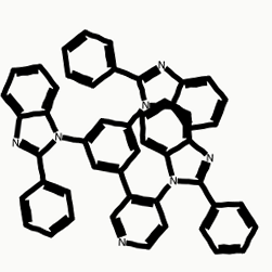 c1ccc(-c2nc3ccccc3n2-c2cc(-c3cnccc3-n3c(-c4ccccc4)nc4ccccc43)cc(-n3c(-c4ccccc4)nc4ccccc43)c2)cc1